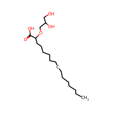 CCCCCCCCCCCCCCC(OCC(O)CO)C(=O)O